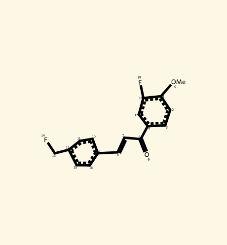 COc1ccc(C(=O)/C=C/c2ccc(CF)cc2)cc1F